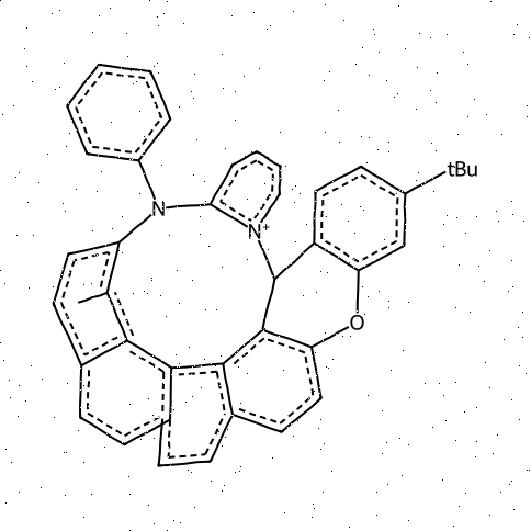 Cc1c2ccc3ccc4ccc5ccc6c(c5c4c13)C(c1ccc(C(C)(C)C)cc1O6)[n+]1ccccc1N2c1ccccc1